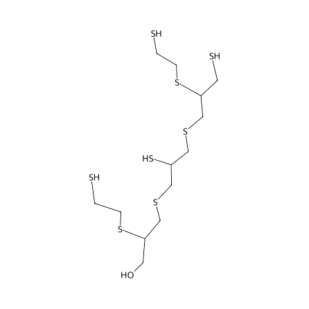 OCC(CSCC(S)CSCC(CS)SCCS)SCCS